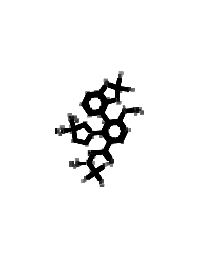 COc1ncc(C(=O)N[C@@H](C)C(F)(F)F)c(N2CC[C@](C)(N)C2)c1-c1cccc2c1OC(F)(F)O2